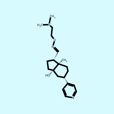 CN(C)CCON=C[C@H]1CC[C@]2(O)C[C@@H](c3ccncc3)CC[C@]12C